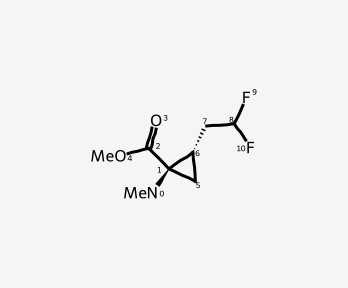 CN[C@]1(C(=O)OC)C[C@H]1CC(F)F